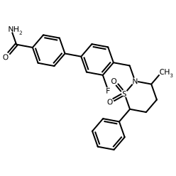 CC1CCC(c2ccccc2)S(=O)(=O)N1Cc1ccc(-c2ccc(C(N)=O)cc2)cc1F